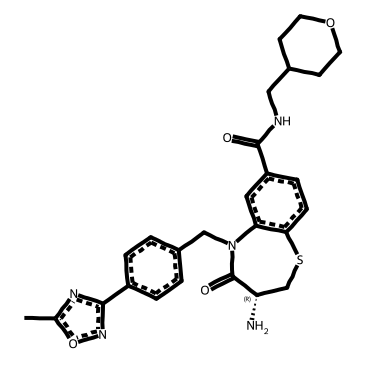 Cc1nc(-c2ccc(CN3C(=O)[C@@H](N)CSc4ccc(C(=O)NCC5CCOCC5)cc43)cc2)no1